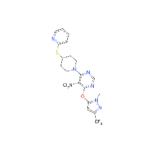 Cn1nc(C(F)(F)F)cc1Oc1ncnc(N2CCC(Sc3ccccn3)CC2)c1[N+](=O)[O-]